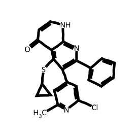 Cc1cc(-c2c(-c3ccccc3)nc3[nH]ccc(=O)c3c2SC2CC2)cc(Cl)n1